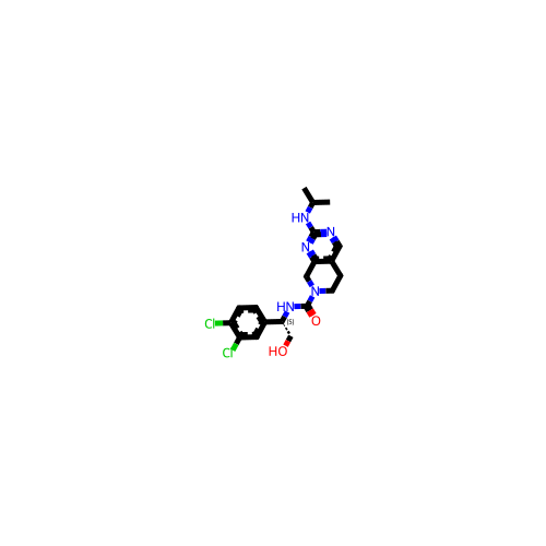 CC(C)Nc1ncc2c(n1)CN(C(=O)N[C@H](CO)c1ccc(Cl)c(Cl)c1)CC2